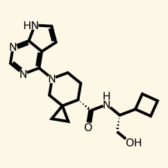 O=C(N[C@@H](CO)C1CCC1)[C@H]1CCN(c2ncnc3[nH]ccc23)CC12CC2